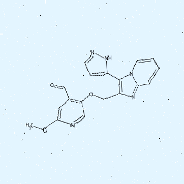 COc1cc(C=O)c(OCc2nc3ccccn3c2-c2ccn[nH]2)cn1